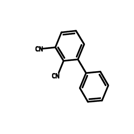 [C-]#[N+]c1cccc(-c2ccccc2)c1[N+]#[C-]